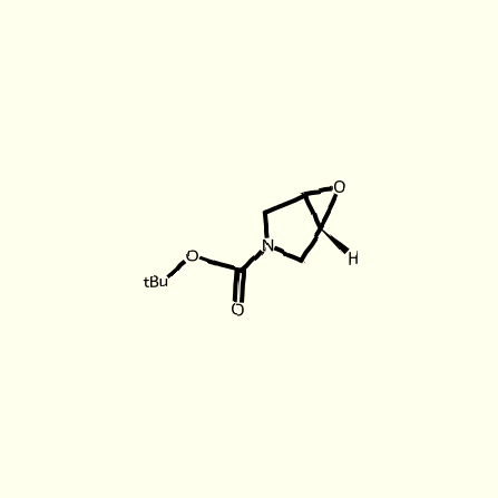 CC(C)(C)OC(=O)N1CC2O[C@@H]2C1